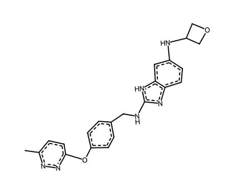 Cc1ccc(Oc2ccc(CNc3nc4ccc(NC5COC5)cc4[nH]3)cc2)nn1